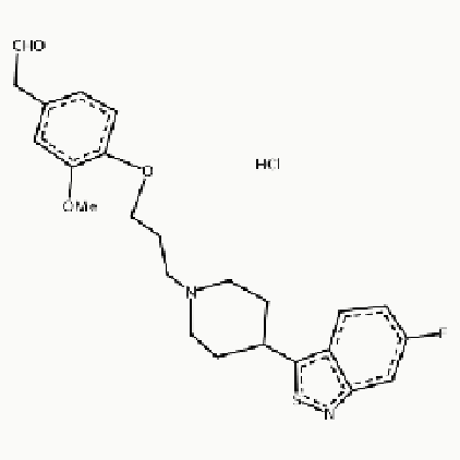 COc1cc(CC=O)ccc1OCCCN1CCC(c2snc3cc(F)ccc23)CC1.Cl